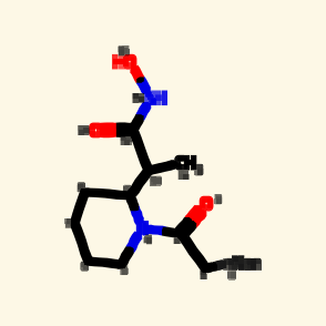 CCCCCCCCCCC(=O)N1CCCCC1C(C)C(=O)NO